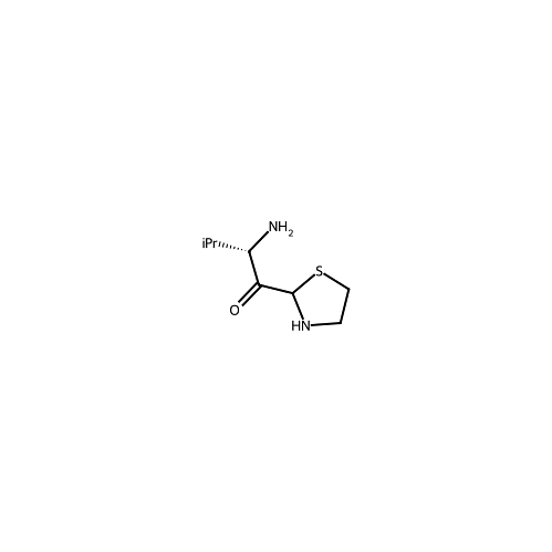 CC(C)[C@H](N)C(=O)C1NCCS1